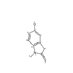 CN1C(=S)Cc2cc(Cl)ccc21